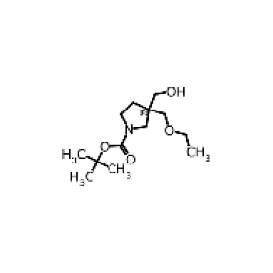 CCOC[C@]1(CO)CCN(C(=O)OC(C)(C)C)C1